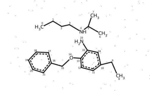 CCCCNC(C)C.CCc1ccc(OCc2ccccc2)c(N)c1